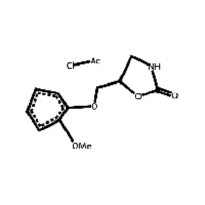 CC(=O)Cl.COc1ccccc1OCC1CNC(=O)O1